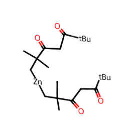 CC(C)(C)C(=O)CC(=O)C(C)(C)[CH2][Zn][CH2]C(C)(C)C(=O)CC(=O)C(C)(C)C